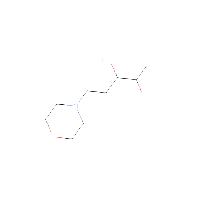 CC(O)C(O)CCN1CCOCC1